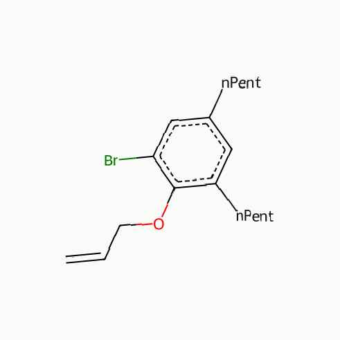 C=CCOc1c(Br)cc(CCCCC)cc1CCCCC